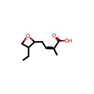 CCC1COC1CC=C(C)C(=O)O